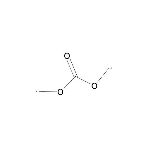 [CH2]OC(=O)O[CH2]